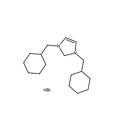 Br.C1=CN(CC2CCCCC2)CN1CC1CCCCC1